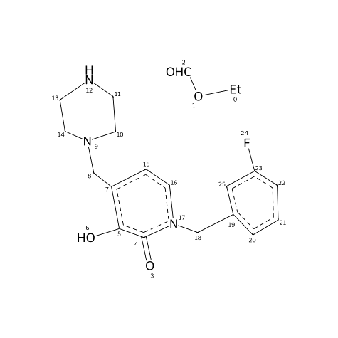 CCOC=O.O=c1c(O)c(CN2CCNCC2)ccn1Cc1cccc(F)c1